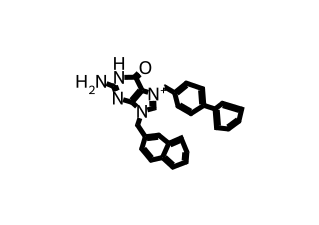 Nc1nc2c(c(=O)[nH]1)[n+](Cc1ccc(-c3ccccc3)cc1)cn2Cc1ccc2ccccc2c1